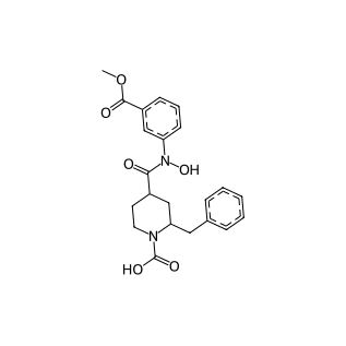 COC(=O)c1cccc(N(O)C(=O)C2CCN(C(=O)O)C(Cc3ccccc3)C2)c1